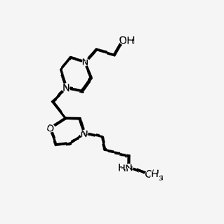 CNCCCN1CCOC(CN2CCN(CCO)CC2)C1